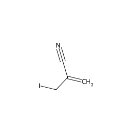 C=C(C#N)CI